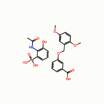 CC(=O)Nc1c(O)cccc1[As](=O)(O)O.COc1ccc(OC)c(COc2cccc(C(=O)O)c2)c1